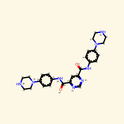 O=C(Nc1ccc(N2CCNCC2)cc1)c1cc(C(=O)Nc2ccc(N3CCNCC3)cc2)ncn1